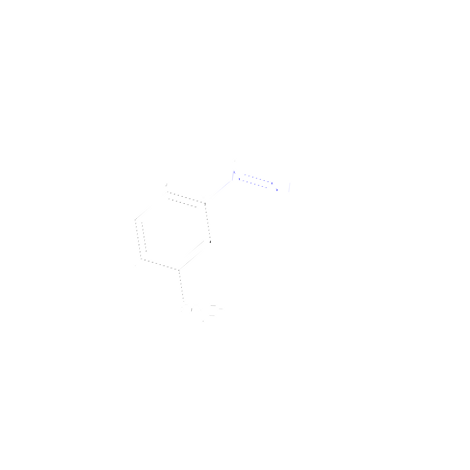 CCOC(=O)c1cccc(N=N)c1